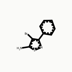 Nc1snc(-c2ccccc2)c1Br